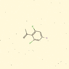 C=C(C)c1c(F)cc(I)cc1F